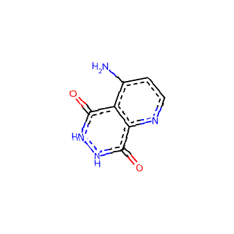 Nc1ccnc2c(=O)[nH][nH]c(=O)c12